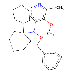 COc1c(N(OCc2ccccc2)C2(C3CCCCC3)CCCCC2)ccnc1C